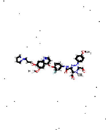 COc1ccc(N2N=C(C(=O)Nc3ccc(Oc4ccnc5cc(OCCCN6CCCC6)c(OC)cc45)c(F)c3)C(C=O)N(C)C2C=O)cc1